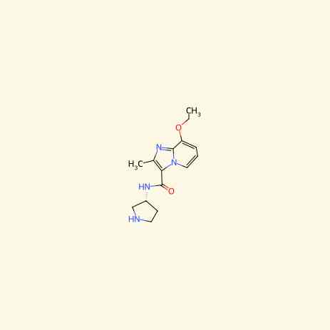 CCOc1cccn2c(C(=O)N[C@@H]3CCNC3)c(C)nc12